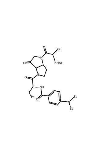 CCC(C)C(NC(C)=O)C(=O)N1CC(=O)C2C1CCN2C(=O)C(CC(C)C)NC(=O)c1ccc(N(CC)CC)cc1